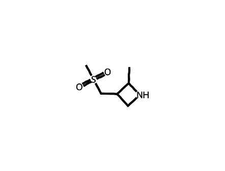 CC1NCC1CS(C)(=O)=O